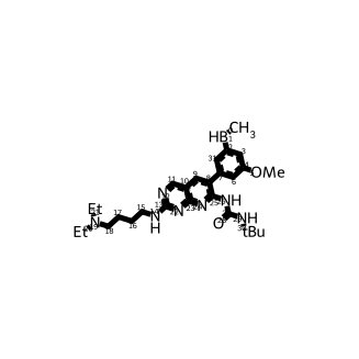 CBc1cc(OC)cc(-c2cc3cnc(NCCCCN(CC)CC)nc3nc2NC(=O)NC(C)(C)C)c1